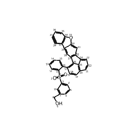 O=S(=O)(c1cccc(CO)c1)c1ccccc1-c1ccc2cccc3c2c1-c1cc2c(cc1-3)oc1ccc#cc12